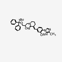 COc1cc(/C=C2\CCCN3CC(COC(c4ccccc4)(c4ccccc4)C(C)(C)C)ON=C23)ccc1-n1cnc(C)c1